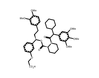 COc1ccc(CC[C@@H](OC(=O)[C@@H]2CCCCN2C(=O)C(c2cc(OC)c(OC)c(OC)c2)C2CCCCC2)c2cccc(OCC(=O)O)c2)cc1OC